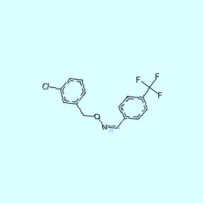 FC(F)(F)c1ccc(/[C]=N\OCc2cccc(Cl)c2)cc1